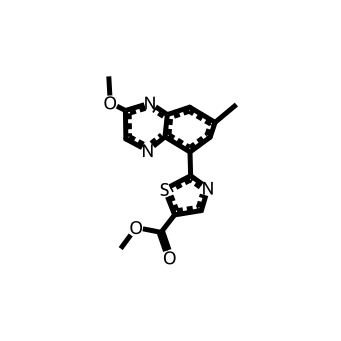 COC(=O)c1cnc(-c2cc(C)cc3nc(OC)cnc23)s1